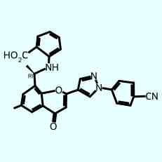 Cc1cc([C@@H](C)Nc2ccccc2C(=O)O)c2oc(-c3cnn(-c4ccc(C#N)cc4)c3)cc(=O)c2c1